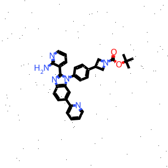 CC(C)(C)OC(=O)N1CC(c2ccc(-n3c(-c4cccnc4N)nc4ccc(-c5ccccn5)cc43)cc2)C1